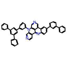 c1ccc(-c2cccc(-c3ccc4nc5c6c(cncc6c4c3)N(c3cccc(-c4cc(-c6ccccc6)cc(-c6ccccc6)c4)c3)c3cnccc3-5)c2)cc1